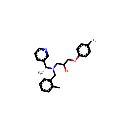 Cc1ccccc1CN(CC(O)COc1ccc(C(F)(F)F)cc1)[C@@H](c1cccnc1)C(F)(F)F